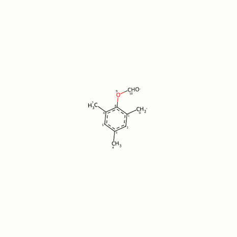 [CH2]c1cc(C)cc(C)c1O[C]=O